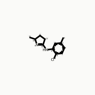 Cc1ccc(Cl)c(NC2=NC(C)CC2)c1